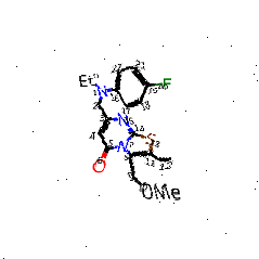 CCN(Cc1cc(=O)n2c(COC)c(C)sc2n1)c1ccc(F)cc1